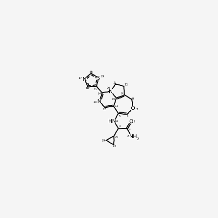 NC(=O)C(NC1=COCC2=C3C1=CN=C(c1cncs1)N3CC2)C1CC1